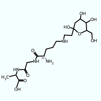 CC(NC(=O)CNC(=O)[C@@H](N)CCCNCCC1(O)CC(O)C(O)C(CO)O1)C(=O)O